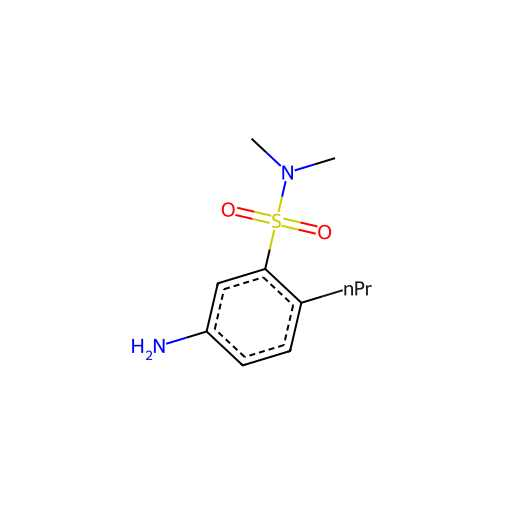 CCCc1ccc(N)cc1S(=O)(=O)N(C)C